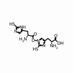 N[C@@H](Cc1cn(OC(=O)[C@@H](N)Cc2cnc(S)[nH]2)c(S)n1)C(=O)O